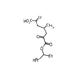 CCCC(CC)OC(=O)C(=O)CC(C)CC(=O)C(=O)O